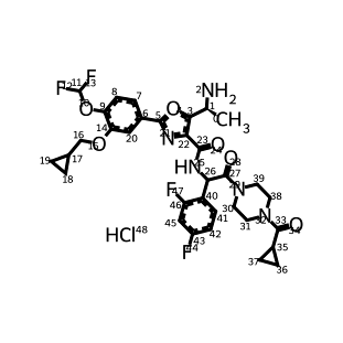 C[C@H](N)c1oc(-c2ccc(OC(F)F)c(OCC3CC3)c2)nc1C(=O)NC(C(=O)N1CCN(C(=O)C2CC2)CC1)c1ccc(F)cc1F.Cl